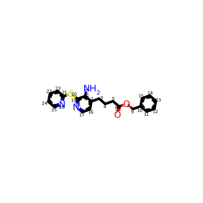 Nc1c(CCCC(=O)OCc2ccccc2)ccnc1Sc1ccccn1